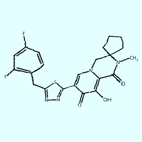 CN1C(=O)c2c(O)c(=O)c(-c3nnc(Cc4ccc(F)cc4F)s3)cn2CC12CCCC2